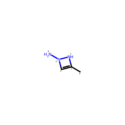 Cc1cn(N)[nH]1